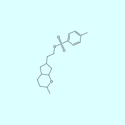 Cc1ccc(S(=O)(=O)OCCC2CC3CCC(C)OC3C2)cc1